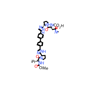 COC(=O)N[C@H](C(=O)N1CCCC1c1ncc(-c2ccc(-c3ccc(-c4cnc([C@@H]5CCCN5C(=O)[C@H](CC(=O)N(C)C)NC(=O)O)[nH]4)cc3)cc2)[nH]1)C(C)C